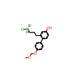 COCOc1ccc(-c2ccc(O)cc2CCC[SiH](Cl)Cl)cc1